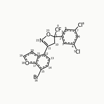 FC(F)(F)C1(c2cc(Cl)cc(Cl)c2)CC(c2ccc(Br)c3occc23)=NO1